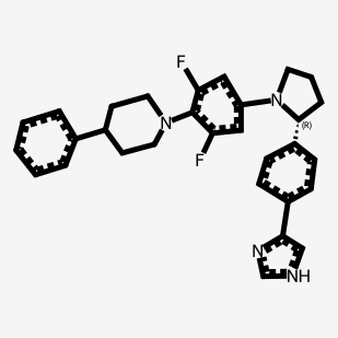 Fc1cc(N2CCC[C@@H]2c2ccc(-c3c[nH]cn3)cc2)cc(F)c1N1CCC(c2ccccc2)CC1